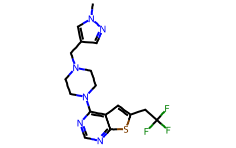 Cn1cc(CN2CCN(c3ncnc4sc(CC(F)(F)F)cc34)CC2)cn1